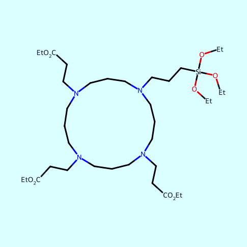 CCOC(=O)CCN1CCCN(CCC[Si](OCC)(OCC)OCC)CCCN(CCC(=O)OCC)CCCN(CCC(=O)OCC)CCC1